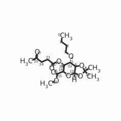 CCCCO[C@@H]1C2OC(C)(C)O[C@@H]2OC(C(=O)OC)[C@H]1OC(=O)CCC(C)=O